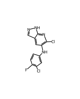 Fc1ccc(Nc2cc3cn[nH]c3nc2Cl)cc1Cl